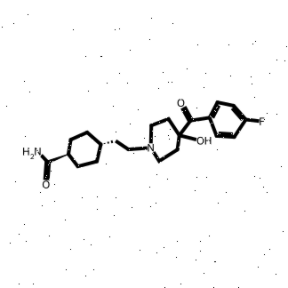 NC(=O)[C@H]1CC[C@H](CCN2CCC(O)(C(=O)c3ccc(F)cc3)CC2)CC1